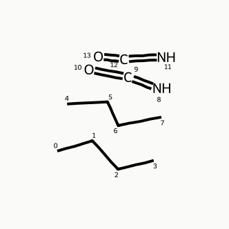 CCCC.CCCC.N=C=O.N=C=O